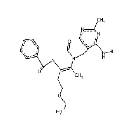 CCOCC/C(SC(=O)c1ccccc1)=C(\C)N(C=O)Cc1cnc(C)nc1NI